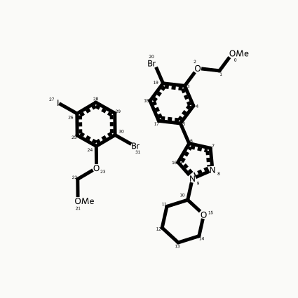 COCOc1cc(-c2cnn(C3CCCCO3)c2)ccc1Br.COCOc1cc(I)ccc1Br